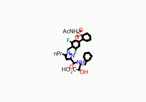 CCCc1cc(C(=O)N[C@H](Cc2ccccc2)[C@@H](O)C(=O)O)nn1Cc1c(F)cc(-c2ccccc2S(=O)(=O)NC(C)=O)cc1F